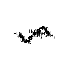 Cc1cc(CC2CCN(C(=O)Oc3cnn(C)c3)C2)cc(C)c1OC(C)(C)C(=O)OSc1ccc(C(=O)C2CCN(C(=O)Oc3cnn(C)c3)C2)cc1